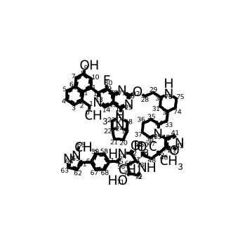 CCc1cccc2cc(O)cc(-c3ncc4c(N5CC6CCC(C5)N6)nc(OCCC5CC(CC6CCCCN6c6cnoc6C(C)(C)CC(=O)[C@@]6(C(=O)N[C@@H](C)c7ccc(-c8ccnn8C)cc7)CC(O)CN6)CCN5)nc4c3F)c12